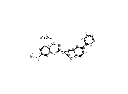 CCOc1ccc([C@H](COC)NC(=O)C2C3Oc4ccc(-c5cncnc5)cc4C32)cc1